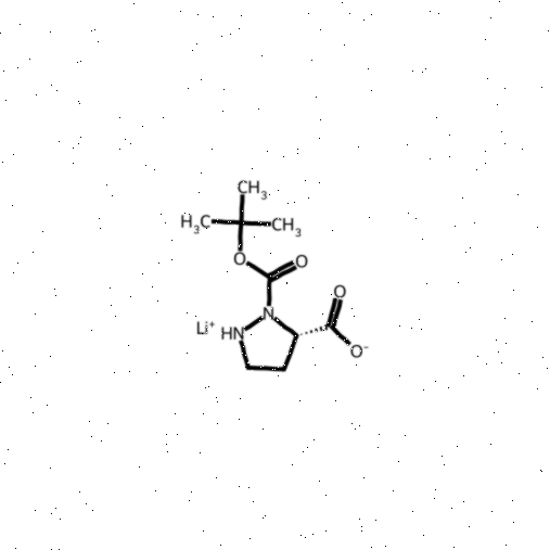 CC(C)(C)OC(=O)N1NCC[C@H]1C(=O)[O-].[Li+]